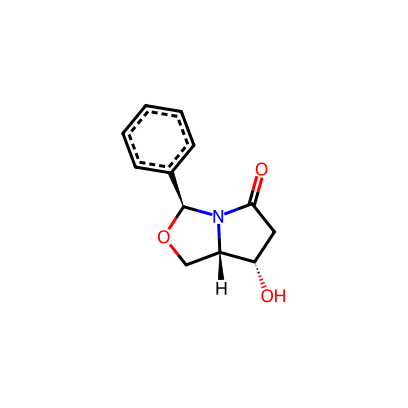 O=C1C[C@H](O)[C@@H]2CO[C@@H](c3ccccc3)N12